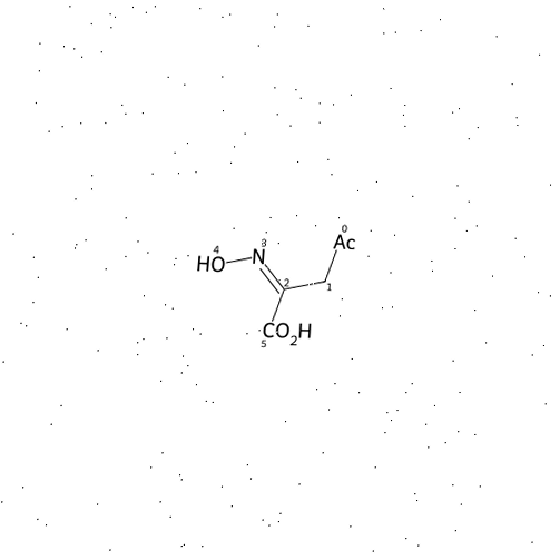 CC(=O)CC(=NO)C(=O)O